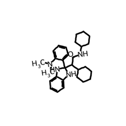 CN(C)c1ccccc1C1(C(C(=O)NC2CCCCC2)C2CCCCC2)Nc2ccccc2N1